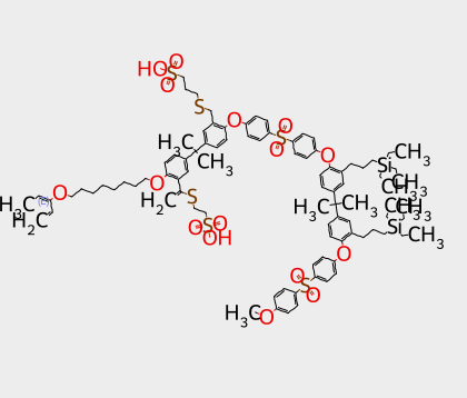 C=C/C(=C\C)OCCCCCCCCOc1ccc(C(C)(C)c2ccc(Oc3ccc(S(=O)(=O)c4ccc(Oc5ccc(C(C)(C)c6ccc(Oc7ccc(S(=O)(=O)c8ccc(OC)cc8)cc7)c(CCC[Si](CC)(CC)CC)c6)cc5CCC[Si](CC)(CC)CC)cc4)cc3)c(CSCCCS(=O)(=O)O)c2)cc1C(=C)SCCS(=O)(=O)O